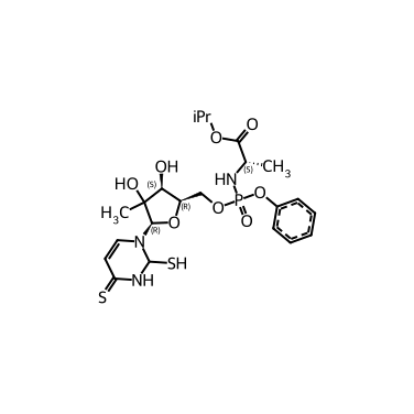 CC(C)OC(=O)[C@H](C)NP(=O)(OC[C@H]1O[C@@H](N2C=CC(=S)NC2S)C(C)(O)[C@H]1O)Oc1ccccc1